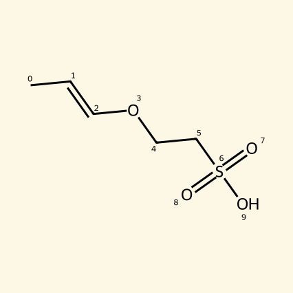 CC=COCCS(=O)(=O)O